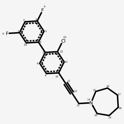 Fc1cc(F)cc(-c2ccc(C#CCN3CCCCCC3)cc2Cl)c1